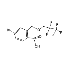 O=C(O)c1ccc(Br)cc1COCC(F)(F)C(F)(F)F